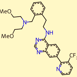 COCCN(CCOC)Cc1ccccc1CCNc1ncnc2cc(-c3ncccc3C(F)(F)F)ccc12